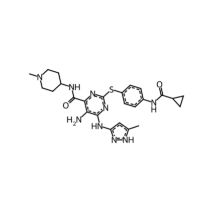 Cc1cc(Nc2nc(Sc3ccc(NC(=O)C4CC4)cc3)nc(C(=O)NC3CCN(C)CC3)c2N)n[nH]1